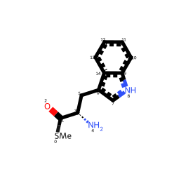 CSC(=O)[C@@H](N)Cc1c[nH]c2ccccc12